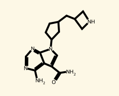 NC(=O)c1cn(C2CCC(CC3CNC3)C2)c2ncnc(N)c12